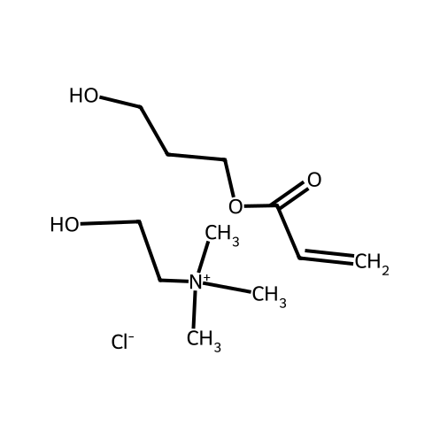 C=CC(=O)OCCCO.C[N+](C)(C)CCO.[Cl-]